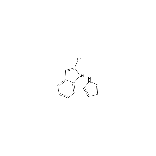 Brc1cc2ccccc2[nH]1.c1cc[nH]c1